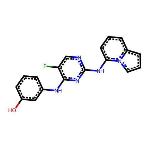 Oc1cccc(Nc2nc(Nc3cccc4cccn34)ncc2F)c1